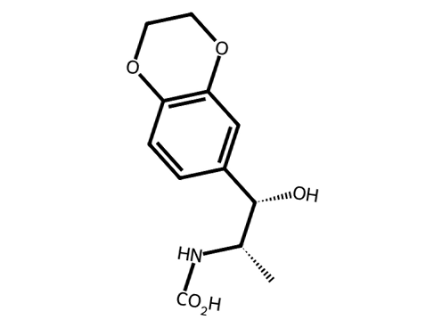 C[C@H](NC(=O)O)[C@@H](O)c1ccc2c(c1)OCCO2